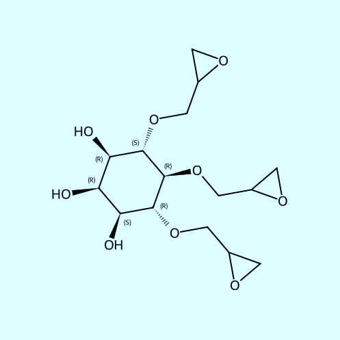 O[C@H]1[C@@H](O)[C@H](OCC2CO2)[C@@H](OCC2CO2)[C@H](OCC2CO2)[C@H]1O